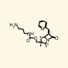 C[C@@H]1N2C(=O)/C(=C/c3ccccn3)C2S[C@@]1(C)COC(=O)NCCCN